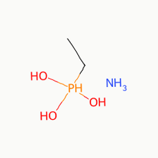 CC[PH](O)(O)O.N